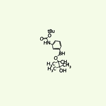 CC(C)(C)OC(=O)Nc1cccc(BOC(C)(C)C(C)(C)O)c1